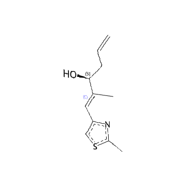 C=CC[C@H](O)/C(C)=C/c1csc(C)n1